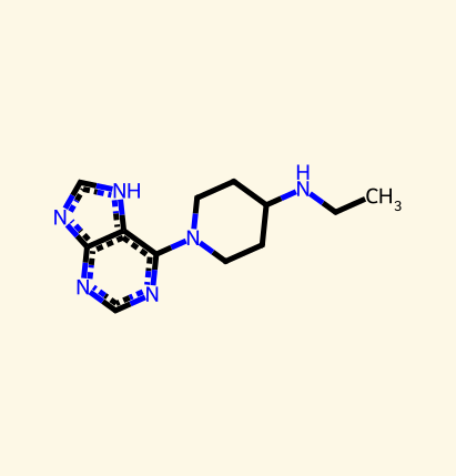 CCNC1CCN(c2ncnc3nc[nH]c23)CC1